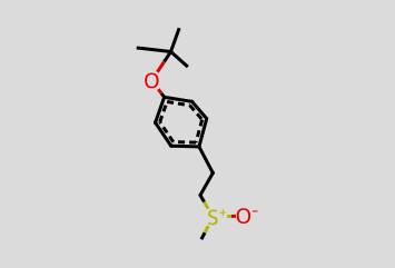 C[S+]([O-])CCc1ccc(OC(C)(C)C)cc1